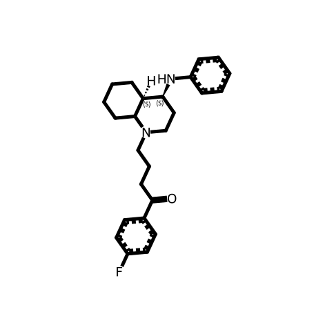 O=C(CCCN1CC[C@H](Nc2ccccc2)[C@@H]2CCCCC21)c1ccc(F)cc1